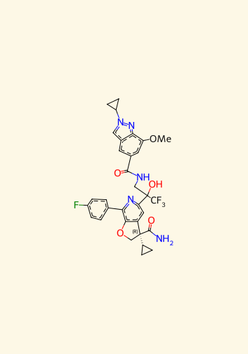 COc1cc(C(=O)NCC(O)(c2cc3c(c(-c4ccc(F)cc4)n2)OC[C@@]3(C(N)=O)C2CC2)C(F)(F)F)cc2cn(C3CC3)nc12